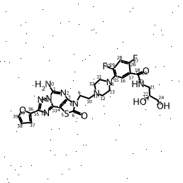 Nc1nc2c(sc(=O)n2CCN2CCN(c3cc(C(=O)NC[C@H](O)CO)c(F)cc3F)CC2)c2nc(-c3ccco3)nn12